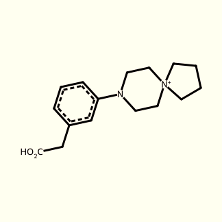 O=C(O)Cc1cccc(N2CC[N+]3(CCCC3)CC2)c1